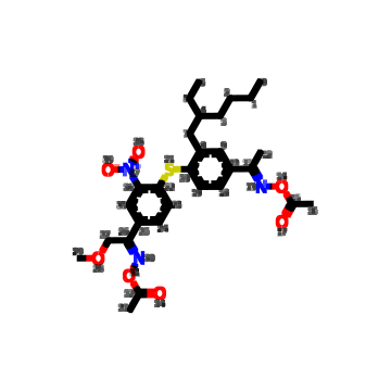 CCCCC(CC)Cc1cc(/C(C)=N/OC(C)=O)ccc1Sc1ccc(/C(COC)=N/OC(C)=O)cc1[N+](=O)[O-]